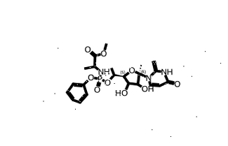 C=C1NC(=O)C=CN1[C@]1(C)O[C@H](C(C)OP(=O)(NC(C)C(=O)OC)Oc2ccccc2)C(O)C1O